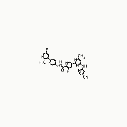 Cc1cc(Nc2cc(C#N)sn2)nc(-c2cnc(C(=O)NCc3ccc(-c4cc(F)cnc4C)nc3)c(F)c2)n1